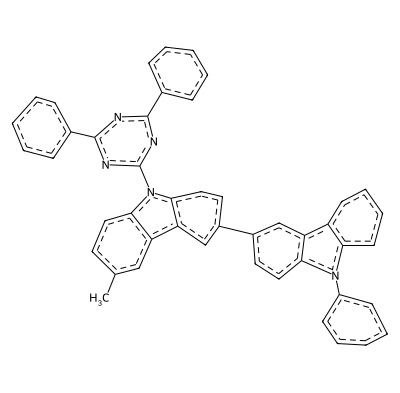 Cc1ccc2c(c1)c1cc(-c3ccc4c(c3)c3ccccc3n4-c3ccccc3)ccc1n2-c1nc(-c2ccccc2)nc(-c2ccccc2)n1